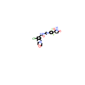 Cc1c(Cl)cc(CC(=O)NC2CN(c3cc(F)c(C4CCC(=O)NC4=O)c(F)c3)C2)cc1CN1CCOCC1